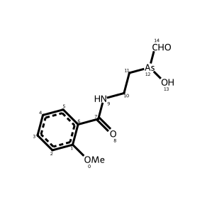 COc1ccccc1C(=O)NCC[As](O)C=O